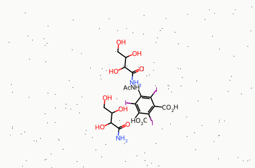 CC(=O)Nc1c(I)c(C(=O)O)c(I)c(C(=O)O)c1I.NC(=O)C(O)C(O)CO.NC(=O)C(O)C(O)CO